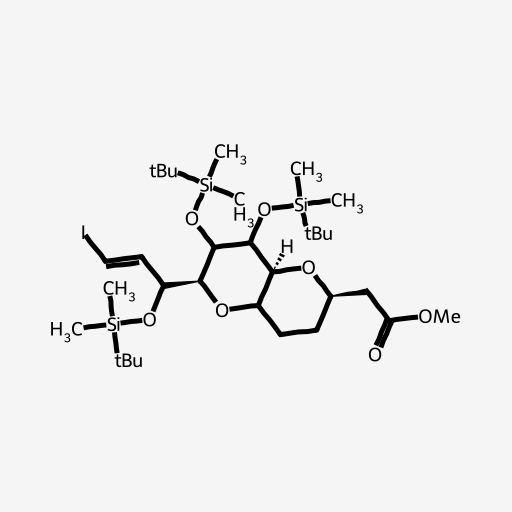 COC(=O)C[C@H]1CCC2O[C@@H](C(/C=C/I)O[Si](C)(C)C(C)(C)C)C(O[Si](C)(C)C(C)(C)C)C(O[Si](C)(C)C(C)(C)C)[C@H]2O1